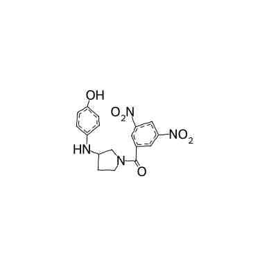 O=C(c1cc([N+](=O)[O-])cc([N+](=O)[O-])c1)N1CCC(Nc2ccc(O)cc2)C1